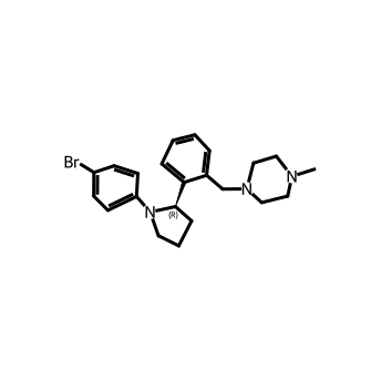 CN1CCN(Cc2ccccc2[C@H]2CCCN2c2ccc(Br)cc2)CC1